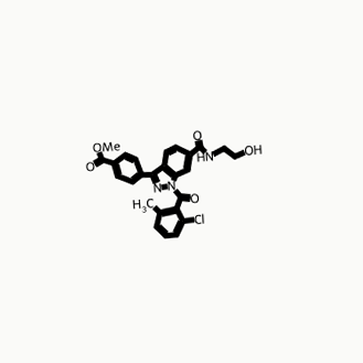 COC(=O)c1ccc(-c2nn(C(=O)c3c(C)cccc3Cl)c3cc(C(=O)NCCO)ccc23)cc1